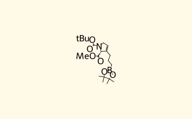 COC(=O)[C@@H]1C(CCCB2OC(C)(C)C(C)(C)O2)=CCN1C(=O)OC(C)(C)C